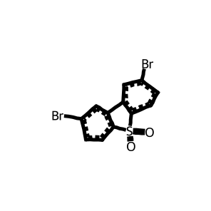 O=S1(=O)c2ccc(Br)cc2-c2cc(Br)ccc21